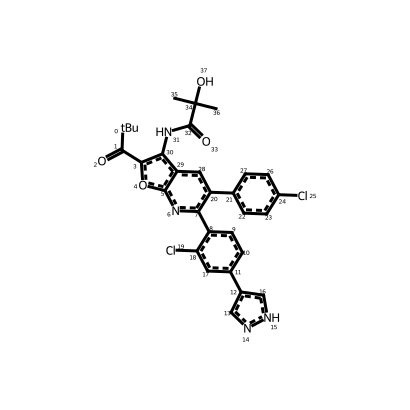 CC(C)(C)C(=O)c1oc2nc(-c3ccc(-c4cn[nH]c4)cc3Cl)c(-c3ccc(Cl)cc3)cc2c1NC(=O)C(C)(C)O